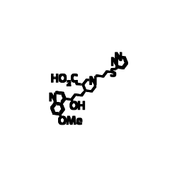 COc1ccc2nccc([C@H](O)CC[C@@H]3CCN(CCCSc4cccnn4)C[C@@H]3CC(=O)O)c2c1